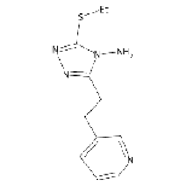 CCSc1nnc(CCc2cccnc2)n1N